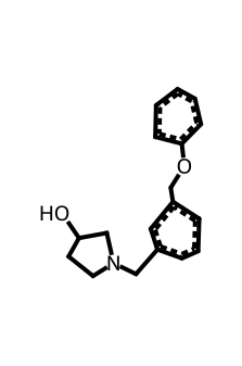 OC1CCN(Cc2cccc(COc3ccccc3)c2)C1